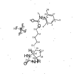 Cc1cc(C)[n+](N(C)C(=O)OCCCCC[C@@H]2SC[C@@H]3NC(=O)N[C@@H]32)c(C)c1.F[B-](F)(F)F